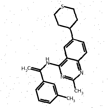 C=C(Nc1nc(C)nc2ccc(C3CCSCC3)cc12)c1cccc(C)c1